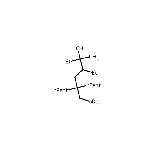 CCCCCCCCCCCC(CCCCC)(CCCCC)CC(CC)C(C)(C)CC